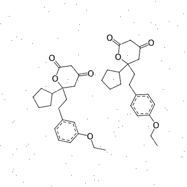 CCOc1ccc(CCC2(C3CCCC3)CC(=O)CC(=O)O2)cc1.CCOc1cccc(CCC2(C3CCCC3)CC(=O)CC(=O)O2)c1